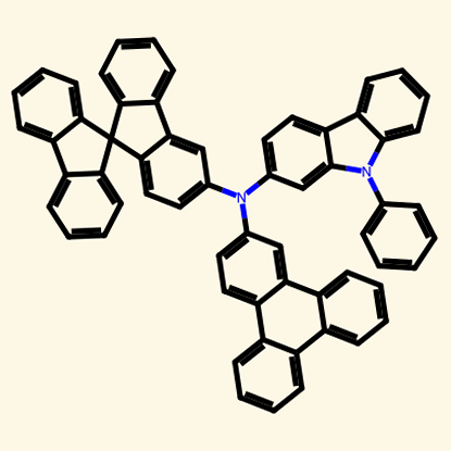 c1ccc(-n2c3ccccc3c3ccc(N(c4ccc5c(c4)-c4ccccc4C54c5ccccc5-c5ccccc54)c4ccc5c6ccccc6c6ccccc6c5c4)cc32)cc1